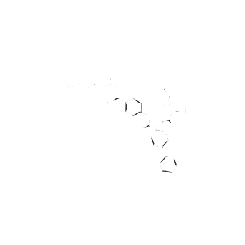 CCCCCC[C@@H](C)OC(=O)c1ccc(OC(=O)C2(OC(=O)[C@H](C)OCCC)C=CC(c3ccccc3)=CC2)cc1